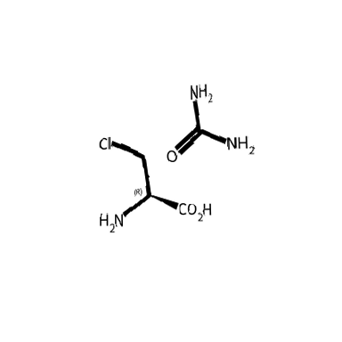 NC(N)=O.N[C@@H](CCl)C(=O)O